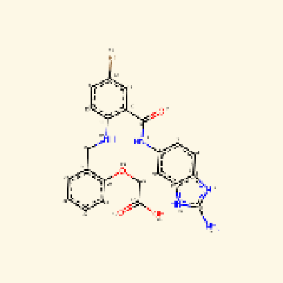 Nc1nc2ccc(NC(=O)c3cc(Br)ccc3NCc3ccccc3OCC(=O)O)cc2[nH]1